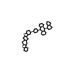 c1ccc2c(-c3c4ccccc4c(-c4ccc(-c5ccc6sc7cc8cc9sc%10ccccc%10c9cc8cc7c6c5)cc4)c4ccccc34)cccc2c1